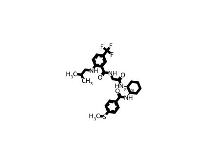 CSc1ccc(C(=O)N[C@H]2CCCC[C@H]2NC(=O)CNC(=O)c2cc(C(F)(F)F)ccc2NCC(C)C)cc1